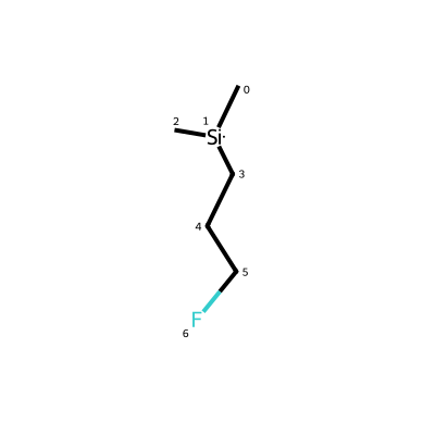 C[Si](C)CCCF